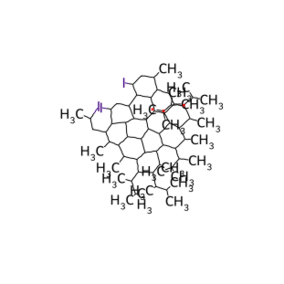 CC(I)CC1C(C)C2C(C)C3C(C(C)C(C)C)C(C(C)C(C)C)C(C)C4C5C(C(C)C(C)C)C(C)C(C(C)C(C(C)C)C(C)C(C)C)C6C7C(C)CC8C(C)CC(I)C9C%10CC(I)C1C1C%10C(C7C89)C(C65)C(C34)C21